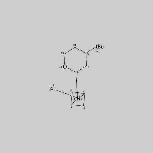 CC(C)N1C2CC(C2)C1C1CC(C(C)(C)C)CCO1